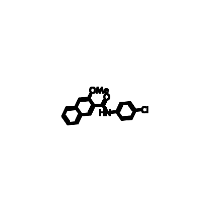 COc1cc2ccccc2cc1C(=O)Nc1ccc(Cl)cc1